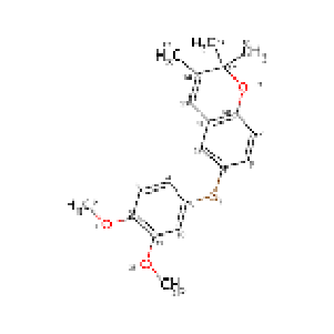 COc1ccc(Sc2ccc3c(c2)C=C(C)C(C)(C)O3)cc1OC